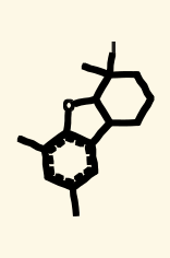 Cc1cc(C)c2c(c1)C1CCCC(C)(I)C1O2